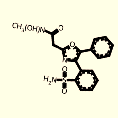 CN(O)C(=O)Cc1nc(-c2ccccc2S(N)(=O)=O)c(-c2ccccc2)o1